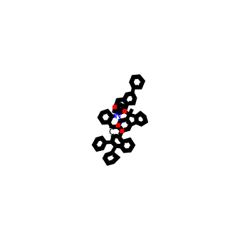 CC1(c2ccccc2)c2ccccc2-c2cccc(N(c3ccc4cc(-c5ccccc5)ccc4c3)c3ccccc3-c3ccc4c(c3)c(-c3ccccc3)c(-c3ccccc3)c3ccccc34)c21